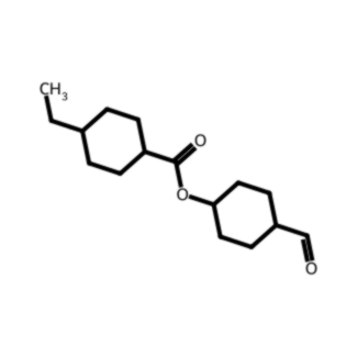 CCC1CCC(C(=O)OC2CCC(C=O)CC2)CC1